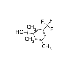 Cc1cc(C(C)(C)O)cc(C(F)(F)F)c1